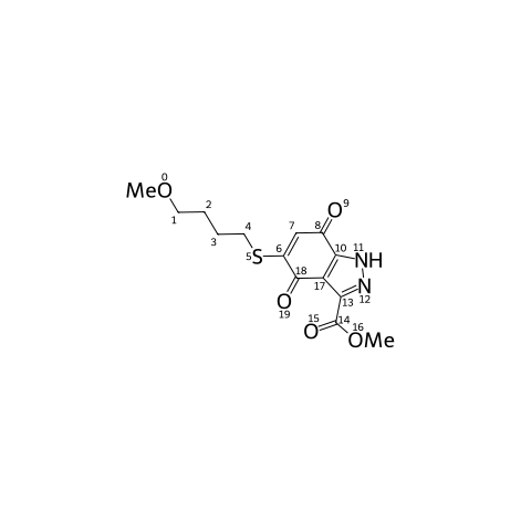 COCCCCSC1=CC(=O)c2[nH]nc(C(=O)OC)c2C1=O